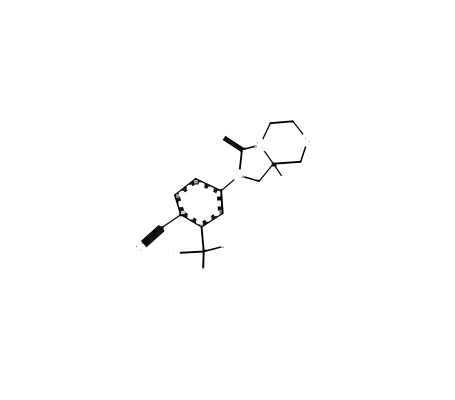 CC12CNCCN1C(=O)N(c1ccc(C#N)c(C(F)(F)F)c1)C2